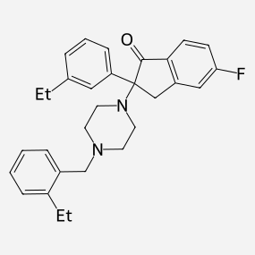 CCc1cccc(C2(N3CCN(Cc4ccccc4CC)CC3)Cc3cc(F)ccc3C2=O)c1